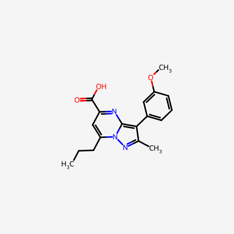 CCCc1cc(C(=O)O)nc2c(-c3cccc(OC)c3)c(C)nn12